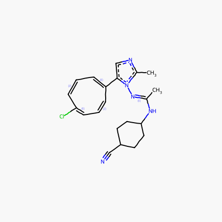 C/C(=N\n1c(C2=C/C=C\C(Cl)=C/C=C\2)cnc1C)NC1CCC(C#N)CC1